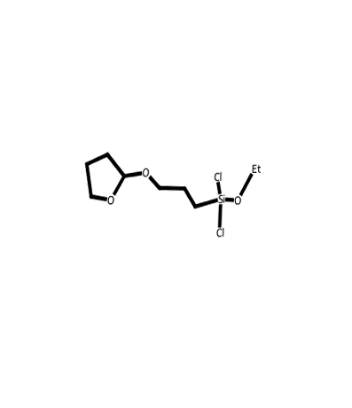 CCO[Si](Cl)(Cl)CCCOC1CCCO1